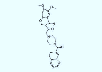 COc1cc2c(cc1OC)C1=NOC(CN3CCN(C(=O)C4=Cc5ccccc5CC4)CC3)C1CO2